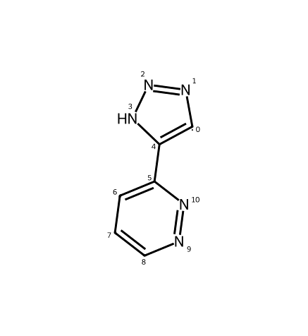 [c]1nn[nH]c1-c1cccnn1